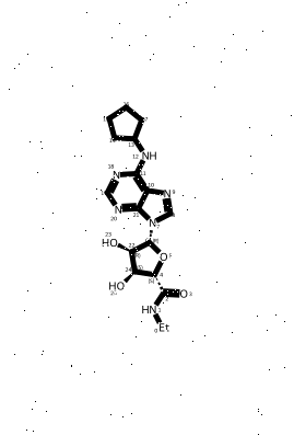 CCNC(=O)[C@H]1O[C@@H](n2cnc3c(NC4CCCC4)ncnc32)[C@H](O)[C@@H]1O